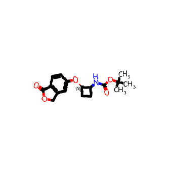 CC(C)(C)OC(=O)NC1CC[C@@H]1Oc1ccc2c(c1)COC2=O